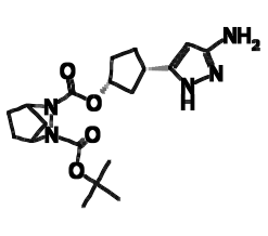 CC(C)(C)OC(=O)N1C2CCC(C2)N1C(=O)O[C@@H]1CC[C@H](c2cc(N)n[nH]2)C1